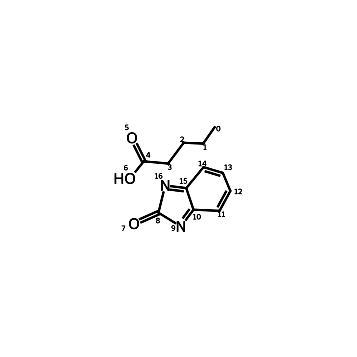 CCCCC(=O)O.O=C1N=c2ccccc2=N1